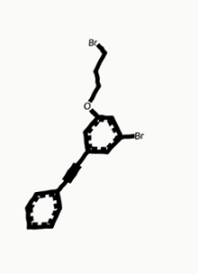 BrCCCOc1cc(Br)cc(C#Cc2ccccc2)c1